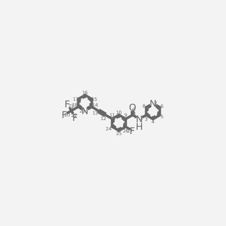 O=C(Nc1cccnc1)c1cc(C#Cc2cccc(C(F)(F)F)n2)ccc1F